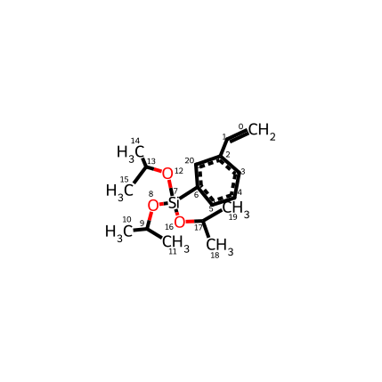 C=Cc1cccc([Si](OC(C)C)(OC(C)C)OC(C)C)c1